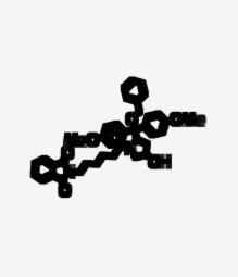 COc1ccc(C(OCc2ccccc2)(c2ccc(OC)cc2)C2CC(O)CN2C(=O)CCCCCN2C(=O)c3ccccc3C2=O)cc1